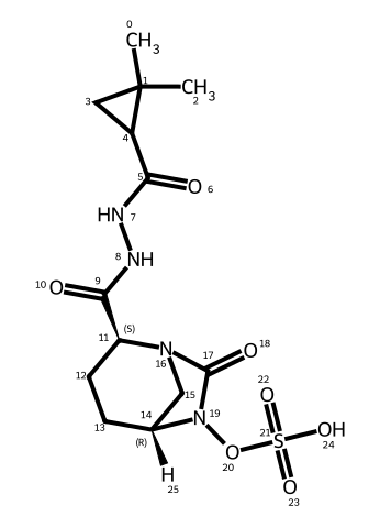 CC1(C)CC1C(=O)NNC(=O)[C@@H]1CC[C@@H]2CN1C(=O)N2OS(=O)(=O)O